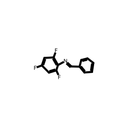 Fc1cc(F)c(N=Cc2ccccc2)c(F)c1